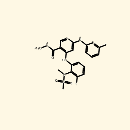 CONC(=O)c1cnc(Nc2cccc(F)n2)cc1Nc1cccc(F)c1N(C)S(C)(=O)=O